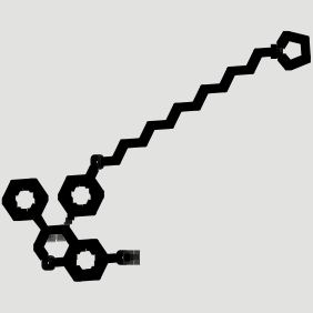 Oc1ccc2c(c1)[C@@H](c1ccc(OCCCCCCCCCCCCN3CCCC3)cc1)[C@H](c1ccccc1)CO2